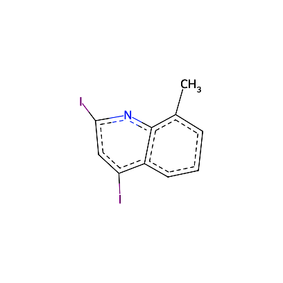 Cc1cccc2c(I)cc(I)nc12